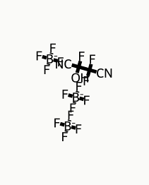 F[B-](F)(F)F.F[B-](F)(F)F.F[B-](F)(F)F.N#CC(O)(F)C(F)(F)C#N